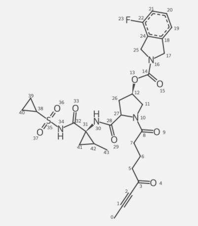 CC#CC(=O)CCCC(=O)N1C[C@H](OC(=O)N2Cc3cccc(F)c3C2)CC1C(=O)N[C@]1(C(=O)NS(=O)(=O)C2CC2)CC1C